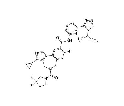 CC(C)n1cnnc1-c1cccc(NC(=O)c2cc3c(cc2F)CN(C(=O)N2CCC(F)(F)C2)Cc2c(C4CC4)ncn2-3)n1